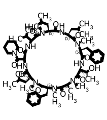 CC(C)C[C@@H]1NC(=O)[C@H](CC(C)C)N(C)C(=O)C(C(C)C)NC(=O)C(C(=O)N2CCCCC2)NC(=O)[C@H](CC(C)C)N(C)C(=O)[C@H](Cc2ccccc2)N(C)C(=O)[C@H](C)N(C)C(=O)[C@H]([C@@H](C)O)NC(=O)[C@H](Cc2ccccc2)N(C)C1=O